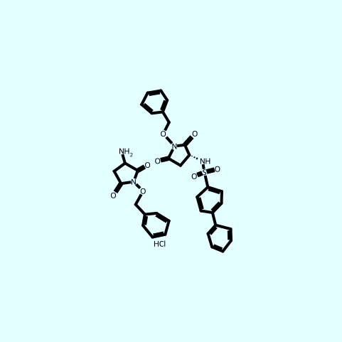 Cl.NC1CC(=O)N(OCc2ccccc2)C1=O.O=C1C[C@@H](NS(=O)(=O)c2ccc(-c3ccccc3)cc2)C(=O)N1OCc1ccccc1